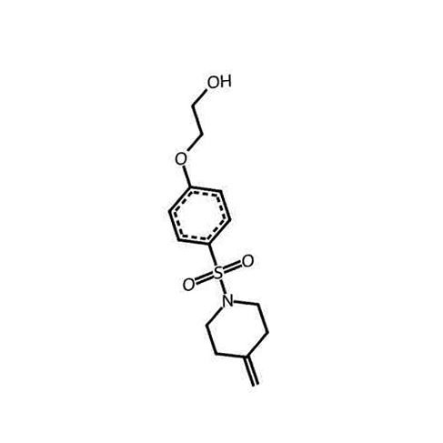 C=C1CCN(S(=O)(=O)c2ccc(OCCO)cc2)CC1